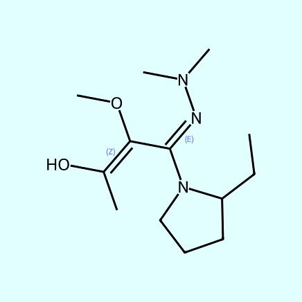 CCC1CCCN1C(=N/N(C)C)/C(OC)=C(\C)O